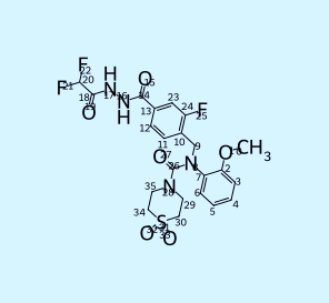 COc1ccccc1N(Cc1ccc(C(=O)NNC(=O)C(F)F)cc1F)C(=O)N1CCS(=O)(=O)CC1